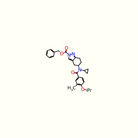 Cc1cc(C(=O)N(C2CC2)C2CCc3nn(C(=O)OCc4ccccc4)cc3C2)ccc1OC(C)C